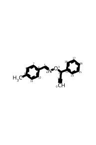 C#CC(O/N=C/c1ccc(C)cc1)c1ccccc1